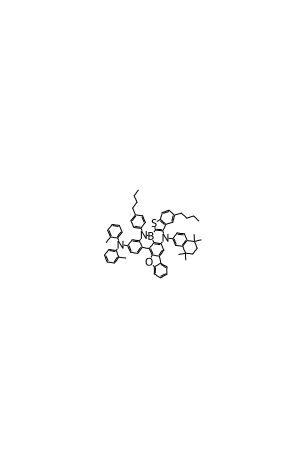 CCCCc1ccc(N2B3c4sc5ccc(CCCC)cc5c4N(c4ccc5c(c4)C(C)(C)CCC5(C)C)c4cc5c(oc6ccccc65)c(c43)-c3ccc(N(c4ccccc4C)c4ccccc4C)cc32)cc1